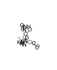 CCCc1c(Cc2ccc(-c3ccccc3-c3noc(=O)[nH]3)cc2)c(=O)n([C@H]2CC[C@H](OCC3CCCO3)CC2)c2ncnn12.[KH]